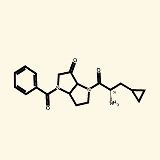 N[C@@H](CC1CC1)C(=O)N1CCC2C1C(=O)CN2C(=O)c1ccccc1